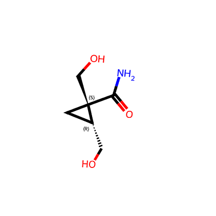 NC(=O)[C@@]1(CO)C[C@H]1CO